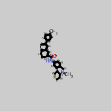 Cc1ccc(-c2ccc3c(c2)C=C(C(=O)Nc2ccc(CN(C)C4CCSCC4)cc2)CCC3)cc1